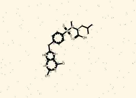 CC(C)C[C@@H](C(=O)O)N(C)S(=O)(=O)c1ccc(Cc2nc3c(Cl)nc(Cl)nc3[nH]2)cc1